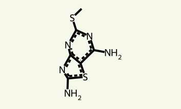 CSc1nc(N)c2sc(N)nc2n1